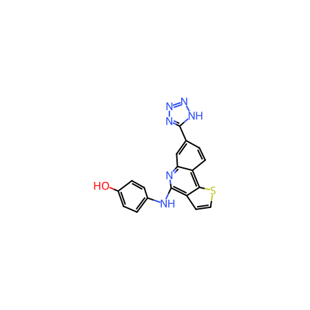 Oc1ccc(Nc2nc3cc(-c4nnn[nH]4)ccc3c3sccc23)cc1